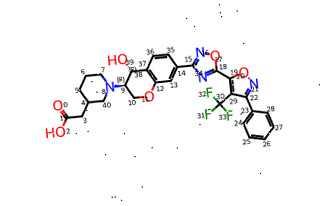 O=C(O)CC1CCCN([C@@H]2COc3cc(-c4noc(-c5onc(-c6ccccc6)c5C(F)(F)F)n4)ccc3[C@H]2O)C1